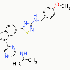 COc1ccc(CNc2nsc(-c3ccc4c(c3)C(c3cncc(NC(C)C)n3)=CC4)n2)cc1